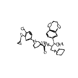 O=C(NC(CN1CCCC1)C(O)c1ccc2c(c1)OCCO2)C1CCN(c2ccc(Cl)c(OC3CC3)c2)C1